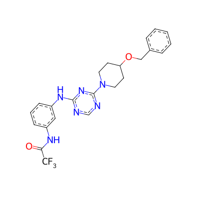 O=C(Nc1cccc(Nc2ncnc(N3CCC(OCc4ccccc4)CC3)n2)c1)C(F)(F)F